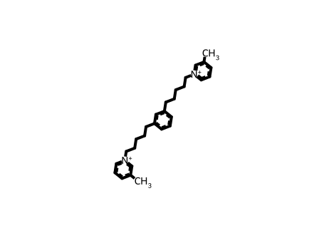 Cc1ccc[n+](CCCCCc2cccc(CCCCC[n+]3cccc(C)c3)c2)c1